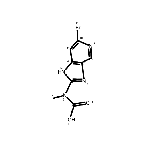 CN(C(=O)O)c1nc2cnc(Br)cc2[nH]1